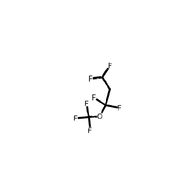 FC(F)CC(F)(F)OC(F)(F)F